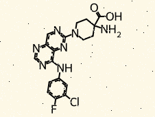 NC1(C(=O)O)CCN(c2ncc3ncnc(Nc4ccc(F)c(Cl)c4)c3n2)CC1